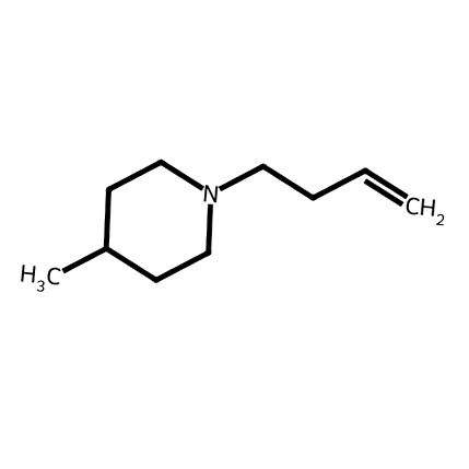 C=CCCN1CCC(C)CC1